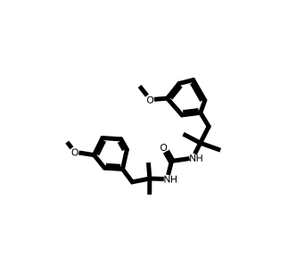 COc1cccc(CC(C)(C)NC(=O)NC(C)(C)Cc2cccc(OC)c2)c1